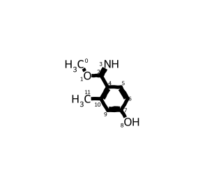 COC(=N)c1ccc(O)cc1C